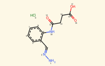 Cl.NN=Cc1ccccc1NC(=O)CCC(=O)O